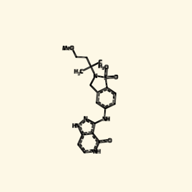 COCCC(C)(C)N1Cc2cc(Nc3n[nH]c4cc[nH]c(=O)c34)ccc2S1(=O)=O